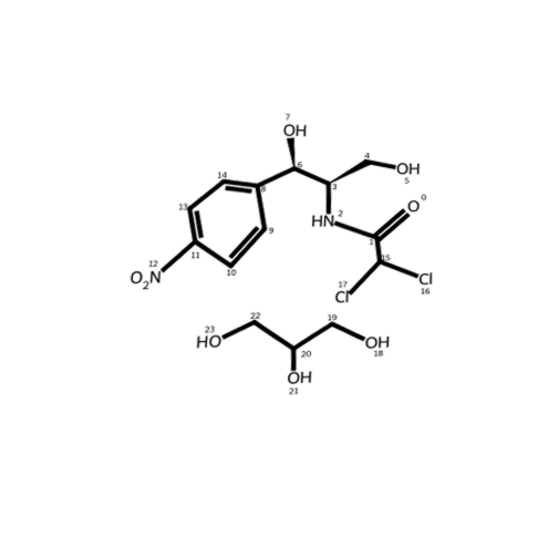 O=C(N[C@H](CO)[C@H](O)c1ccc([N+](=O)[O-])cc1)C(Cl)Cl.OCC(O)CO